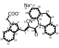 N#C/C(=C\c1cn(CC(=O)[O-])c2ccccc12)C(=O)N1c2ccccc2C=Cc2ccccc21.[Na+]